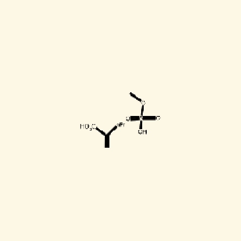 C=C(CCC)C(=O)O.COS(=O)(=O)O